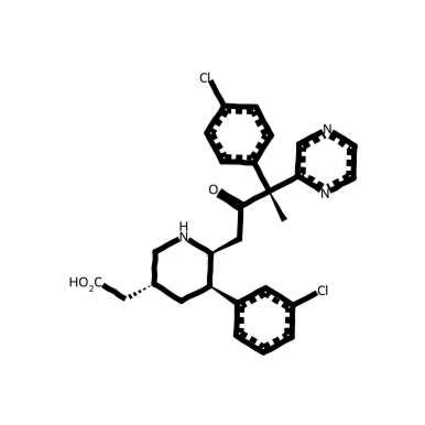 C[C@@](C(=O)C[C@@H]1NC[C@@H](CC(=O)O)C[C@@H]1c1cccc(Cl)c1)(c1ccc(Cl)cc1)c1cnccn1